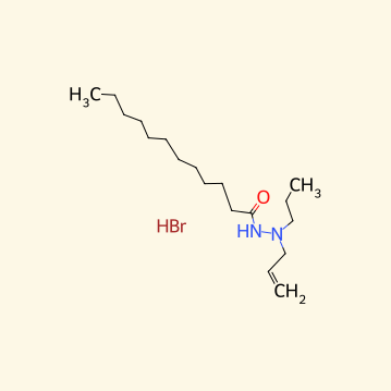 Br.C=CCN(CCC)NC(=O)CCCCCCCCCCC